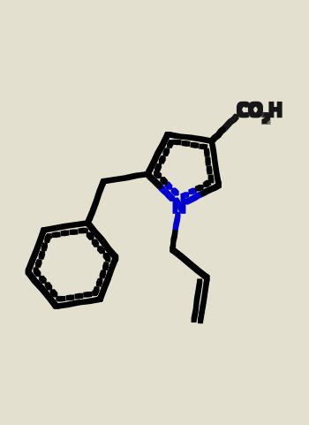 C=CCn1cc(C(=O)O)cc1Cc1ccccc1